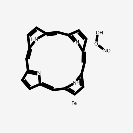 C1=Cc2cc3ccc(cc4nc(cc5ccc(cc1n2)[nH]5)C=C4)[nH]3.O=NOO.[Fe]